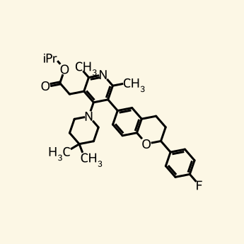 Cc1nc(C)c(-c2ccc3c(c2)CCC(c2ccc(F)cc2)O3)c(N2CCC(C)(C)CC2)c1CC(=O)OC(C)C